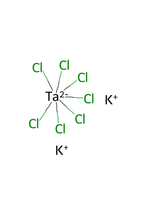 [Cl][Ta-2]([Cl])([Cl])([Cl])([Cl])([Cl])[Cl].[K+].[K+]